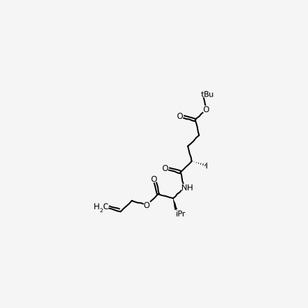 C=CCOC(=O)[C@@H](NC(=O)[C@@H](I)CCC(=O)OC(C)(C)C)C(C)C